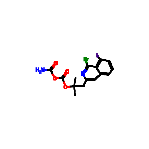 CC(C)(Cc1cc2cccc(I)c2c(Br)n1)OC(=O)OC(N)=O